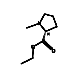 CCOC(=O)[C@H]1CCCN1C